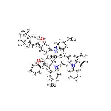 CC(C)(C)c1ccc(Nc2cc3oc4cc5c(cc4c3cc2-c2c3c4c(c6cc(C(C)(C)C)ccc6n4-c4cc(N(c6ccccc6)c6ccccc6)ccc4B3)c3c2oc2ccccc23)C(C)(C)CCC5(C)C)cc1